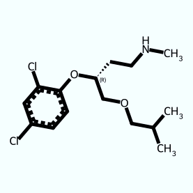 CNCC[C@H](COCC(C)C)Oc1ccc(Cl)cc1Cl